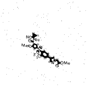 COC(=O)Cn1cc(-c2ccc(S(=O)(=O)[C@H]3C[C@@H](OC)[C@H](C(=O)NC4(C#N)CC4)C3)c(C(F)(F)F)c2)cn1